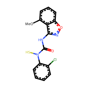 COc1cccc2onc(NC(=O)N(S)c3ccccc3Cl)c12